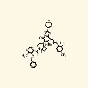 CCc1c(N2CCN(C(=O)c3ncnc(C)c3OCc3ccccc3)[C@H]3CC[C@@H]32)c(=O)n2nc(C3=CCOCC3)nc2n1CC(=O)Nc1ccc(C(F)(F)F)cc1Cl